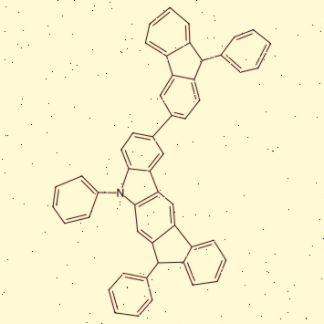 c1ccc(C2c3ccccc3-c3cc(-c4ccc5c(c4)c4cc6c(cc4n5-c4ccccc4)C(c4ccccc4)c4ccccc4-6)ccc32)cc1